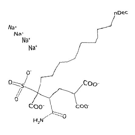 CCCCCCCCCCCCCCCCCCC(C(=O)[O-])(C(CC(C(=O)[O-])C(=O)[O-])C(N)=O)S(=O)(=O)[O-].[Na+].[Na+].[Na+].[Na+]